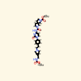 CC(C)(C)OC(=O)NCC1C2CN(CCc3ccc(-n4ccc(NC(=O)N5CCC6(CCN(C(=O)OC(C)(C)C)C6)C5)nc4=O)cc3)CC12